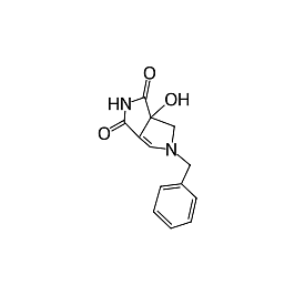 O=C1NC(=O)C2(O)CN(Cc3ccccc3)C=C12